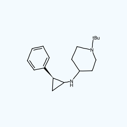 CC(C)(C)N1CCC(NC2C[C@H]2c2ccccc2)CC1